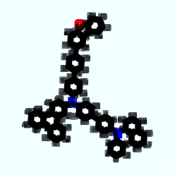 c1ccc(N(c2ccc(-c3ccc(N(c4ccc(-c5ccc(-c6ccc7oc8ccccc8c7c6)cc5)cc4)c4ccc5c6ccccc6c6ccccc6c5c4)cc3)cc2)c2cccc3ccccc23)cc1